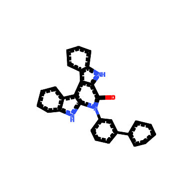 O=c1c2[nH]c3ccccc3c2c2c3ccccc3[nH]c2n1-c1cccc(-c2ccccc2)c1